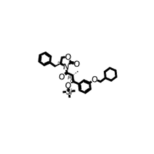 C[C@@H](C(=O)N1C(=O)OC[C@@H]1Cc1ccccc1)[C@H](O[Si](C)(C)C)c1cccc(OCC2CCCCC2)c1